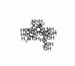 NCC(O)CN[C@@H]1C[C@H](N)C(O[C@H]2O[C@H](CNCC(O)CO)[C@@H](O)[C@H](O)[C@H]2N)[C@H](O)[C@H]1O[C@H]1O[C@H](CO)[C@@H](O)[C@H](N)[C@H]1O